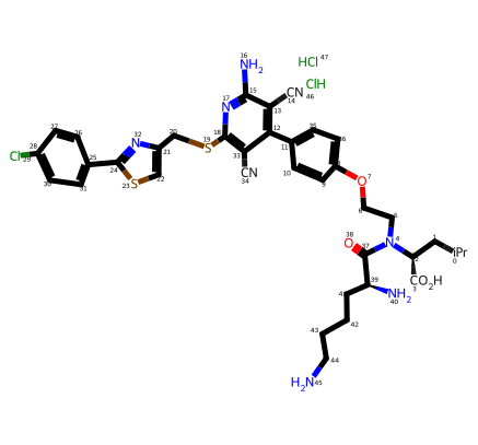 CC(C)C[C@@H](C(=O)O)N(CCOc1ccc(-c2c(C#N)c(N)nc(SCc3csc(-c4ccc(Cl)cc4)n3)c2C#N)cc1)C(=O)[C@@H](N)CCCCN.Cl.Cl